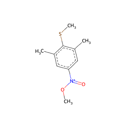 CO[N+](=O)c1cc(C)c(SC)c(C)c1